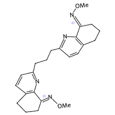 CO/N=C1\CCCc2ccc(CCCc3ccc4c(n3)/C(=N/OC)CCC4)nc21